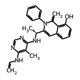 C=CNc1ncnc(N[C@@H](C)C2=Cc3cccc(O)c3C(=C)N2c2ccccc2)c1C